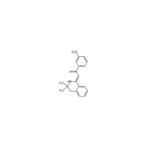 CC1(C)Cc2ccccc2/C(=C/C(=O)c2cccc([N+](=O)[O-])c2)N1